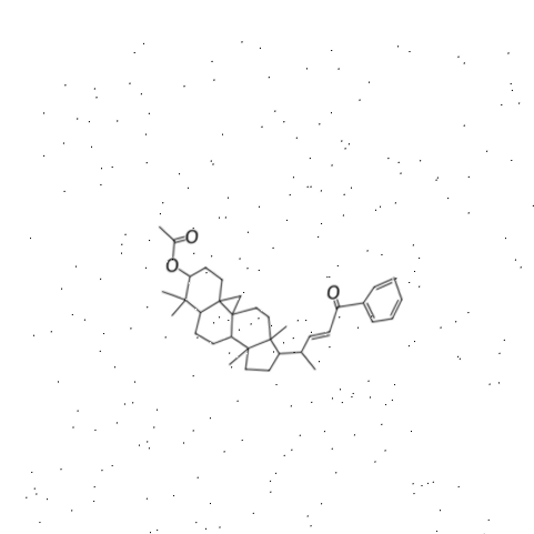 CC(=O)OC1CCC23CC24CCC2(C)C(C(C)/C=C/C(=O)c5ccccc5)CCC2(C)C4CCC3C1(C)C